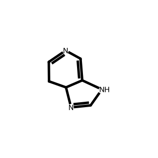 C1=NC=C2NC=NC2C1